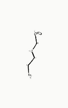 CC(=O)CCOCC=O